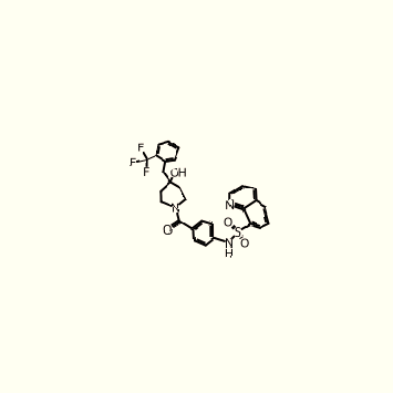 O=C(c1ccc(NS(=O)(=O)c2cccc3cccnc23)cc1)N1CCC(O)(Cc2ccccc2C(F)(F)F)CC1